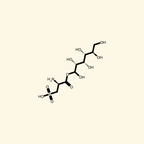 N[C@H](CS(=O)(=O)O)C(=O)OC(O)[C@H](O)[C@@H](O)[C@H](O)[C@H](O)CO